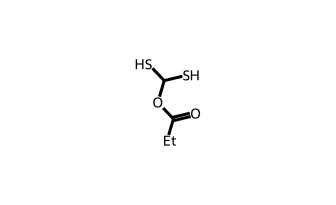 CCC(=O)OC(S)S